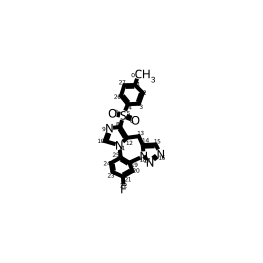 Cc1ccc(S(=O)(=O)c2ncn3c2Cc2cnnn2-c2cc(F)ccc2-3)cc1